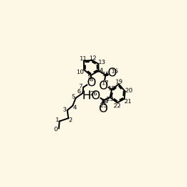 CCCCCCCCOc1ccccc1C(=O)Oc1ccccc1C(=O)O